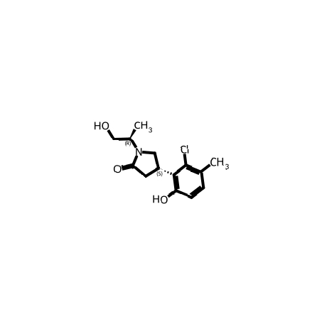 Cc1ccc(O)c([C@@H]2CC(=O)N([C@H](C)CO)C2)c1Cl